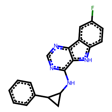 Fc1ccc2[nH]c3c(NC4CC4c4ccccc4)ncnc3c2c1